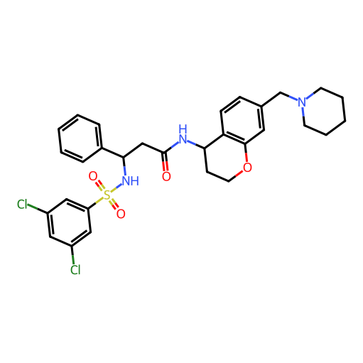 O=C(CC(NS(=O)(=O)c1cc(Cl)cc(Cl)c1)c1ccccc1)NC1CCOc2cc(CN3CCCCC3)ccc21